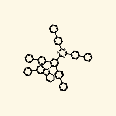 c1c(-c2ccccc2)ccc(-c2cc(-c3nc(-c4ccc(-c5ccccc5)cc4)nc(-c4ccc(-c5ccccc5)cc4)n3)cc(-c3ccc(-c4ccccc4)cc3)c2-n2c3c(c4cc(-c5ccccc5)ccc42)C=CCC3)c#1